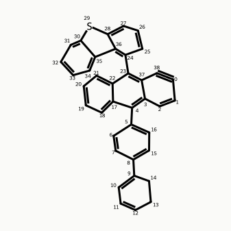 c1ccc2c(-c3ccc(C4=CC=CCC4)cc3)c3ccccc3c(-c3cccc4sc5ccccc5c34)c2c#1